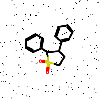 O=S1(=O)CCC(c2ccccc2)C1c1ccccc1